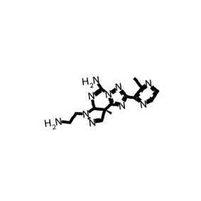 Cc1nccnc1-c1nc2n(n1)C(N)=NC1N(CCN)N=C[C@@]21C